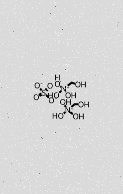 O=S(=O)([O-])[O-].OC[N+](O)(O)O.OC[N+](O)(O)O